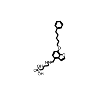 O=P(O)(O)CCCNCc1ccc(OCCCCCc2ccccc2)c2occc12